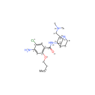 CSCCOc1cc(N)c(Cl)cc1C(=O)NC1C2CCN(CC2)C1CN(C)C